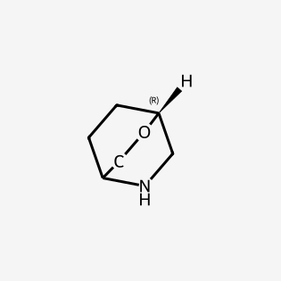 C1C[C@@H]2CNC1CO2